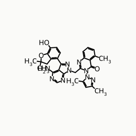 Cc1cc(C)n(-n2c(Cn3nc(-c4ccc(O)c5c4CC(C)(C)O5)c4c(N)ncnc43)nc3cccc(C)c3c2=O)n1